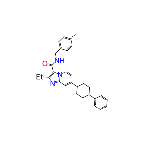 CCc1nc2cc(C3CCC(c4ccccc4)CC3)ccn2c1C(=O)NCc1ccc(C)cc1